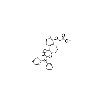 Cc1ccc2c(c1OCC(=O)O)CCCC(OC(=O)N(c1ccccc1)c1ccccc1)C2=O